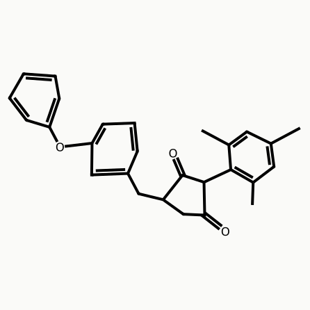 Cc1cc(C)c(C2C(=O)CC(Cc3cccc(Oc4ccccc4)c3)C2=O)c(C)c1